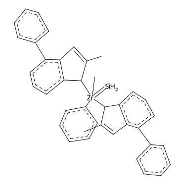 CC1=Cc2c(-c3ccccc3)cccc2[CH]1[Zr]([CH3])(=[SiH2])([c]1ccccc1)[CH]1C(C)=Cc2c(-c3ccccc3)cccc21